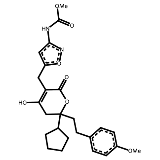 COC(=O)Nc1cc(CC2=C(O)CC(CCc3ccc(OC)cc3)(C3CCCC3)OC2=O)on1